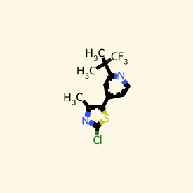 Cc1nc(Cl)sc1-c1ccnc(C(C)(C)C(F)(F)F)c1